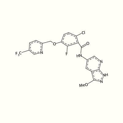 COc1n[nH]c2ncc(NC(=O)c3c(Cl)ccc(OCc4ccc(C(F)(F)F)cn4)c3F)cc12